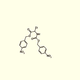 [CH2]CC(NC(=O)OCc1ccc([N+](=O)[O-])cc1)C(=O)OCc1ccc([N+](=O)[O-])cc1